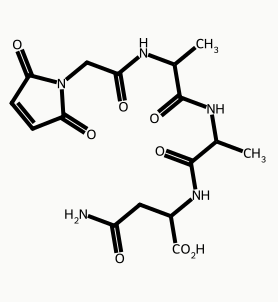 CC(NC(=O)CN1C(=O)C=CC1=O)C(=O)NC(C)C(=O)NC(CC(N)=O)C(=O)O